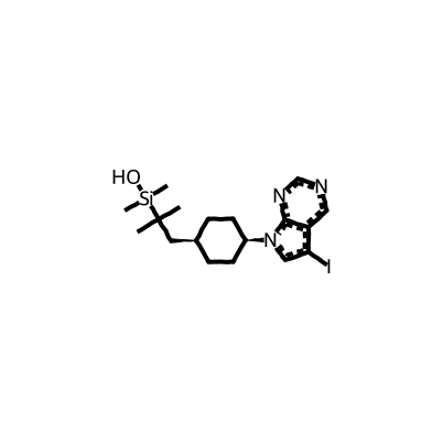 CC(C)(C[C@H]1CC[C@@H](n2cc(I)c3cncnc32)CC1)[Si](C)(C)O